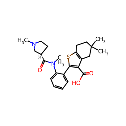 CN1CC[C@H](C(=O)N(C)c2ccccc2-c2sc3c(c2C(=O)O)CC(C)(C)CC3)C1